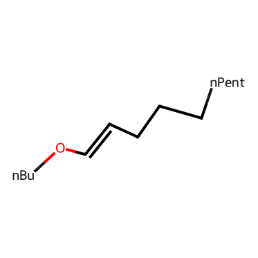 CCCCCCCCC=COCCCC